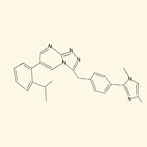 Cc1cn(C)c(-c2ccc(Cc3nnc4ncc(-c5ccccc5C(C)C)cn34)cc2)n1